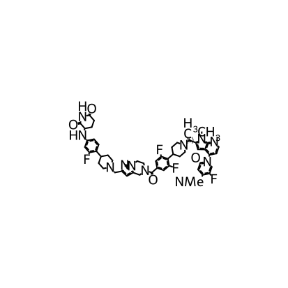 CNc1cc(=O)n(-c2ccnc3c2cc([C@H](C)N2CCC(c4c(F)cc(C(=O)N5CCn6nc(CN7CCC(c8ccc(NC9CCC(=O)NC9=O)cc8F)CC7)cc6C5)cc4F)CC2)n3C)cc1F